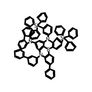 c1ccc(-c2cccc(N3c4cc(-c5ccccc5)ccc4B4c5ccc([Si](c6ccccc6)(c6ccccc6)c6ccccc6)cc5N(c5cccc([Si](c6ccccc6)(c6ccccc6)c6ccccc6)c5)c5cc(-n6c7ccccc7c7ccccc76)cc3c54)c2)cc1